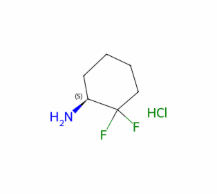 Cl.N[C@H]1CCCCC1(F)F